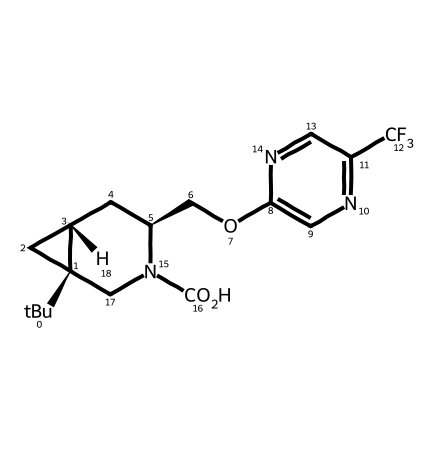 CC(C)(C)[C@@]12C[C@@H]1C[C@@H](COc1cnc(C(F)(F)F)cn1)N(C(=O)O)C2